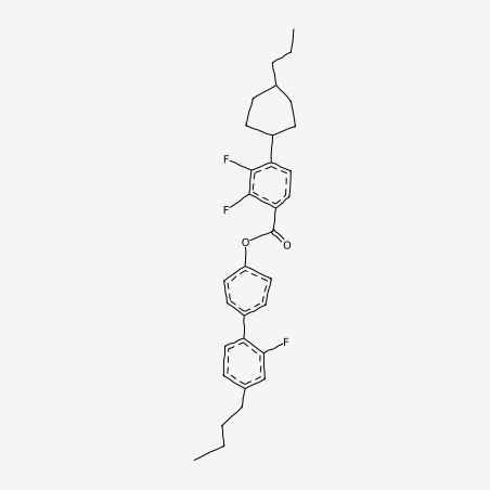 CCCCc1ccc(-c2ccc(OC(=O)c3ccc(C4CCC(CCC)CC4)c(F)c3F)cc2)c(F)c1